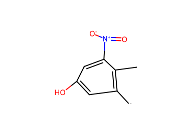 [CH2]c1cc(O)cc([N+](=O)[O-])c1C